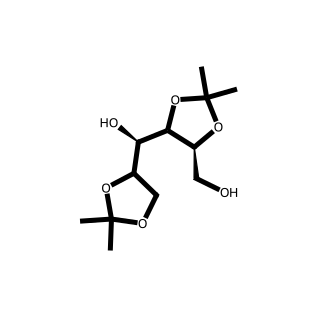 CC1(C)OCC([C@@H](O)C2OC(C)(C)O[C@H]2CO)O1